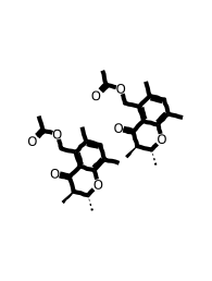 CC(=O)OCc1c(C)cc(C)c2c1C(=O)[C@H](C)[C@@H](C)O2.CC(=O)OCc1c(C)cc(C)c2c1C(=O)[C@H](C)[C@@H](C)O2